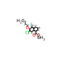 CCCCOc1c(Cl)cc2c(C(=O)OC)cccc2c1F